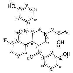 Cc1c(F)cccc1[C@@H]1[C@@H](C(=O)c2cccc(O)c2)CN(C[C@@H](C)O)C[C@H]1C(=O)c1cccc(O)c1